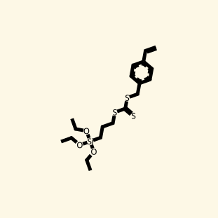 C=Cc1ccc(CSC(=S)SCCC[Si](OCC)(OCC)OCC)cc1